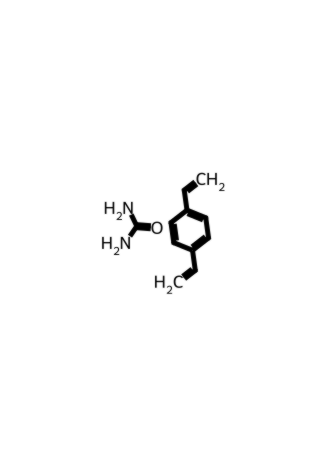 C=Cc1ccc(C=C)cc1.NC(N)=O